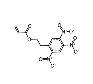 C=CC(=O)OCCc1cc([N+](=O)[O-])c([N+](=O)[O-])cc1[N+](=O)[O-]